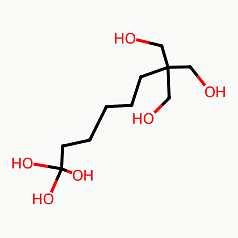 OCC(CO)(CO)CCCCCC(O)(O)O